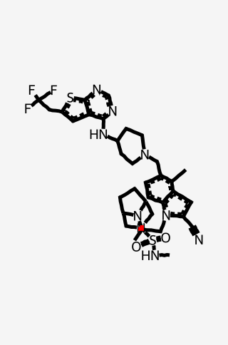 CNS(=O)(=O)N1CC2CCC(C1)N2C(C)Cn1c(C#N)cc2c(C)c(CN3CCC(Nc4ncnc5sc(CC(F)(F)F)cc45)CC3)ccc21